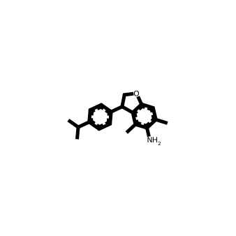 Cc1cc2c(c(C)c1N)C(c1ccc(C(C)C)cc1)CO2